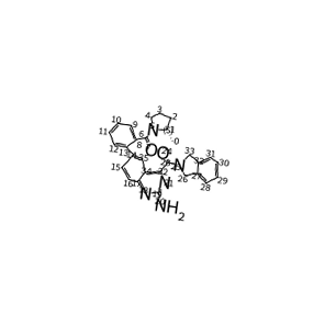 C[C@H]1CCCN1C(=O)c1ccccc1-c1ccc2nc(N)nc(C(=O)N3Cc4ccccc4C3)c2c1